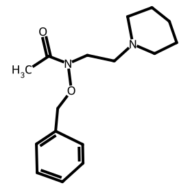 CC(=O)N(CCN1CCCCC1)OCc1ccccc1